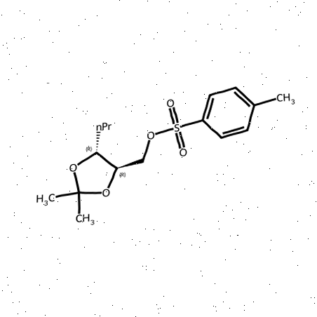 CCC[C@H]1OC(C)(C)O[C@@H]1COS(=O)(=O)c1ccc(C)cc1